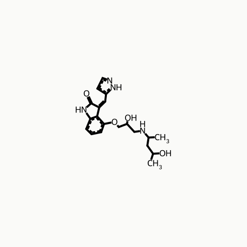 CC(O)CC(C)NCC(O)COc1cccc2c1C(=Cc1ccn[nH]1)C(=O)N2